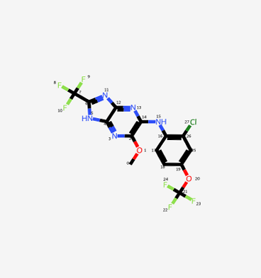 COc1nc2[nH]c(C(F)(F)F)nc2nc1Nc1ccc(OC(F)(F)F)cc1Cl